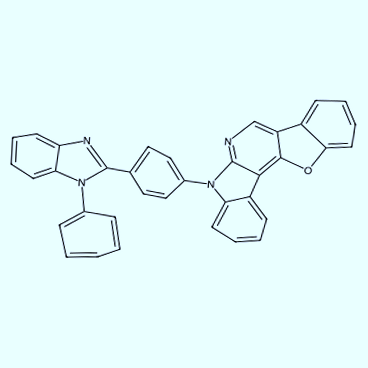 c1ccc(-n2c(-c3ccc(-n4c5ccccc5c5c6oc7ccccc7c6cnc54)cc3)nc3ccccc32)cc1